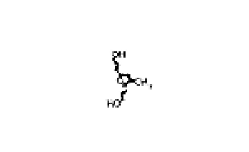 CC1C[C@H](CCCO)O[C@H]1CCCO